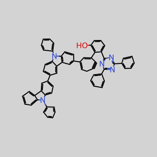 Oc1cccc(-c2nc(-c3ccccc3)nc(-c3ccccc3)n2)c1C1=CC(c2ccc3c(c2)c2cc(-c4ccc5c(c4)c4ccccc4n5-c4ccccc4)ccc2n3-c2ccccc2)=CCC#C1